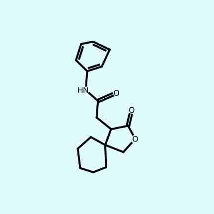 O=C(CC1C(=O)OCC12CCCCC2)Nc1ccccc1